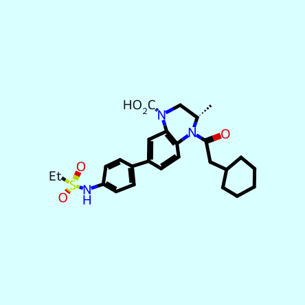 CCS(=O)(=O)Nc1ccc(-c2ccc3c(c2)N(C(=O)O)C[C@H](C)N3C(=O)CC2CCCCC2)cc1